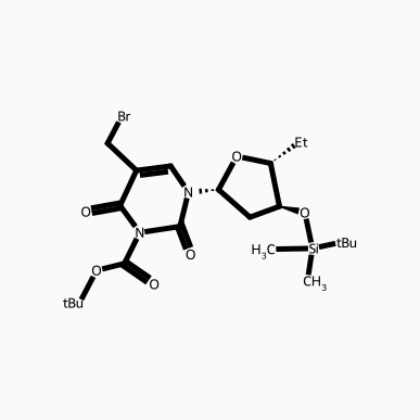 CC[C@H]1O[C@@H](n2cc(CBr)c(=O)n(C(=O)OC(C)(C)C)c2=O)C[C@@H]1O[Si](C)(C)C(C)(C)C